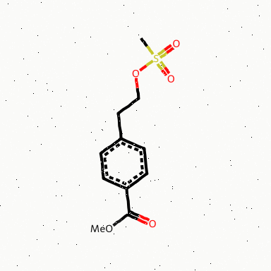 COC(=O)c1ccc(CCOS(C)(=O)=O)cc1